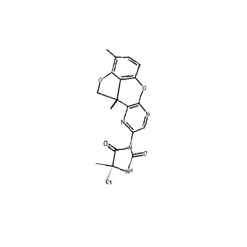 CC[C@@]1(C)NC(=O)N(c2cnc3c(n2)C2(C)COc4c(C)ccc(c42)O3)C1=O